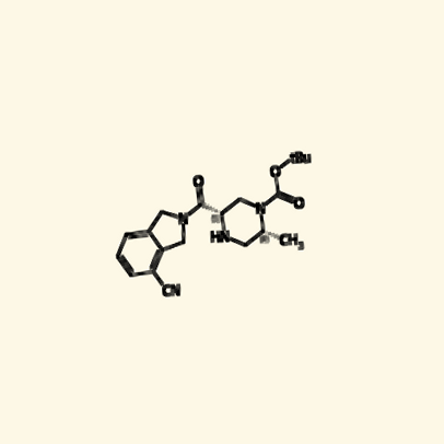 C[C@@H]1CN[C@H](C(=O)N2Cc3cccc(C#N)c3C2)CN1C(=O)OC(C)(C)C